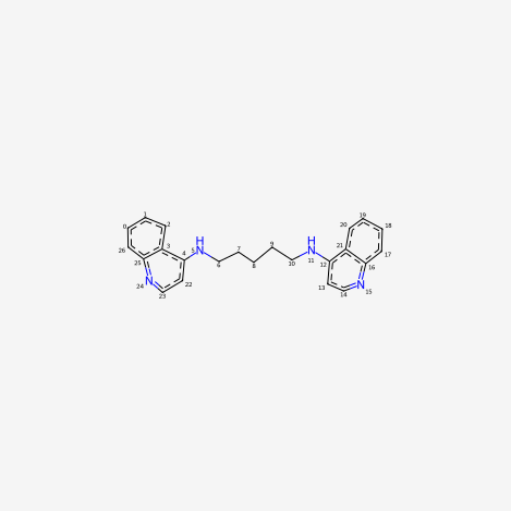 c1ccc2c(NCCCCCNc3ccnc4ccccc34)ccnc2c1